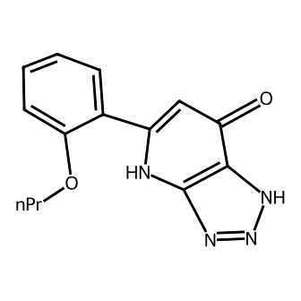 CCCOc1ccccc1-c1cc(=O)c2[nH]nnc2[nH]1